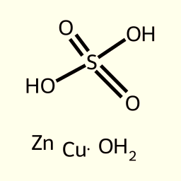 O.O=S(=O)(O)O.[Cu].[Zn]